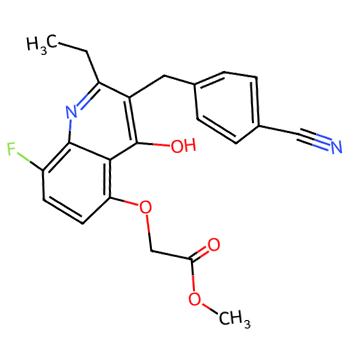 CCc1nc2c(F)ccc(OCC(=O)OC)c2c(O)c1Cc1ccc(C#N)cc1